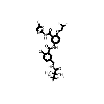 CC(C)(C(=O)NCc1ccc(Cl)c(C(=O)Nc2ccc(OCC(F)F)c(C(=O)Nc3ncc(Cl)s3)c2)c1)C(F)(F)F